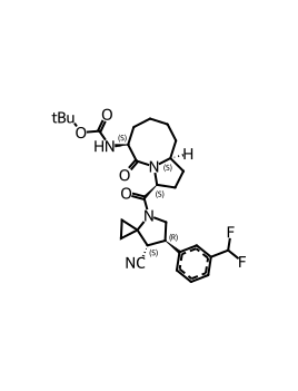 CC(C)(C)OC(=O)N[C@H]1CCCC[C@H]2CC[C@@H](C(=O)N3C[C@@H](c4cccc(C(F)F)c4)[C@H](C#N)C34CC4)N2C1=O